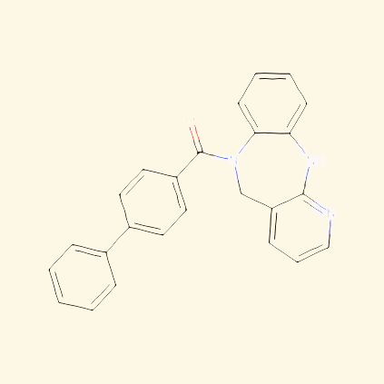 O=C(c1ccc(-c2ccccc2)cc1)N1Cc2cccnc2Nc2ccccc21